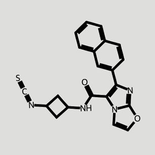 O=C(NC1CC(N=C=S)C1)c1c(-c2ccc3ccccc3c2)nc2occn12